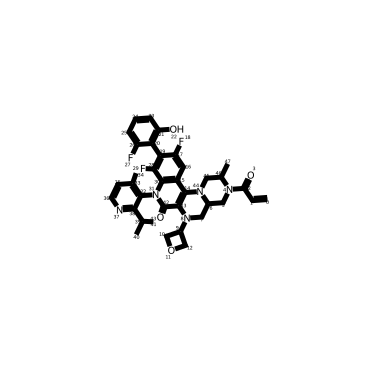 C=CC(=O)N1CC2CN(C3COC3)c3c(c4cc(F)c(-c5c(O)cccc5F)c(F)c4n(-c4c(C)ccnc4C(C)C)c3=O)N2CC1C